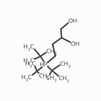 CC(C)(C)[PH](CCC(O)CO)(C(C)(C)C)C(C)(C)C